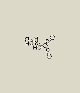 OC(CCl)CNCC(O)c1cc(OCc2ccccc2)cc(OCc2ccccc2)c1